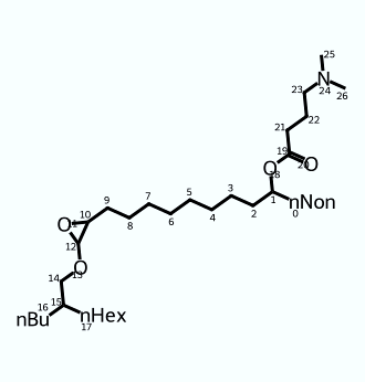 CCCCCCCCCC(CCCCCCCCC1OC1OCC(CCCC)CCCCCC)OC(=O)CCCN(C)C